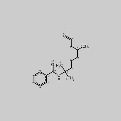 CC(CC=O)CCCC(C)(C)OC(=O)c1ccccc1